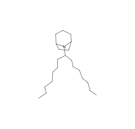 CCCCCCCC(CCCCCCC)N1C2CCCC1CC2